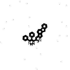 c1ccc(-c2nnnc(-c3cc4c5ccc6c(c5cc-4ns3)Cc3ccccc3-6)c2-c2ccccc2)cc1